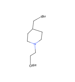 COCCN1CCC(CC(C)(C)C)CC1